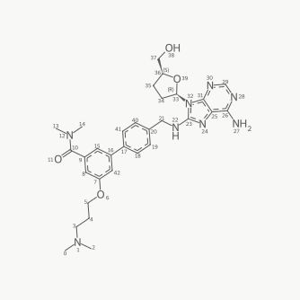 CN(C)CCCOc1cc(C(=O)N(C)C)cc(-c2ccc(CNc3nc4c(N)ncnc4n3[C@H]3CC[C@@H](CO)O3)cc2)c1